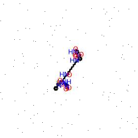 CS(=O)(=O)n1ccc(C(=O)N[C@@H](CCCCNC(=O)CCCCCCCCCCNc2cccc3c2C(=O)N(C2CCC(=O)NC2=O)C3=O)C(=O)Nc2nc(-c3ccccc3)cs2)c1